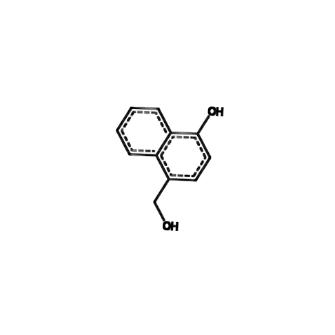 OCc1ccc(O)c2ccccc12